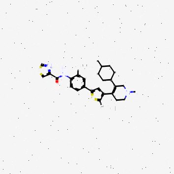 COc1cc(-c2cc(C3=C(C4CCC(C)CC4)CN(C)CC3)c(C(=O)O)s2)ccc1NC(=O)c1cscn1